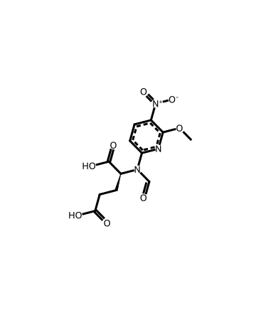 COc1nc(N(C=O)[C@@H](CCC(=O)O)C(=O)O)ccc1[N+](=O)[O-]